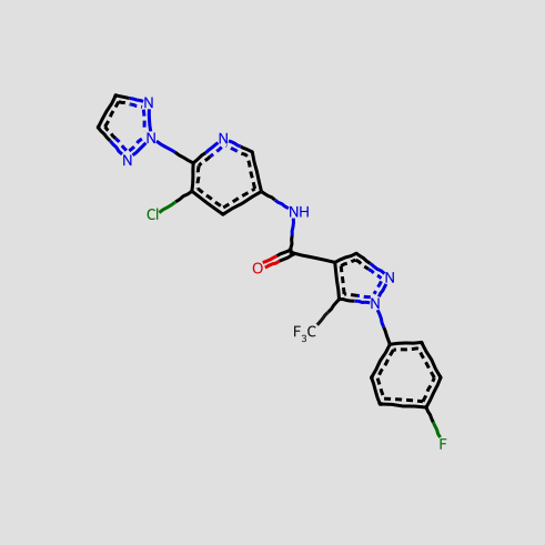 O=C(Nc1cnc(-n2nccn2)c(Cl)c1)c1cnn(-c2ccc(F)cc2)c1C(F)(F)F